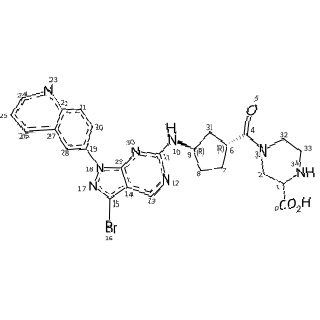 O=C(O)C1CN(C(=O)[C@@H]2CC[C@@H](Nc3ncc4c(Br)nn(-c5ccc6ncccc6c5)c4n3)C2)CCN1